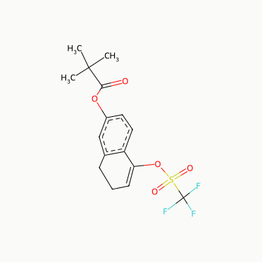 CC(C)(C)C(=O)Oc1ccc2c(c1)CCC=C2OS(=O)(=O)C(F)(F)F